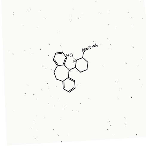 [N-]=[N+]=NC1CCCC(N2c3ccccc3CCc3ccccc32)[C@@H]1O